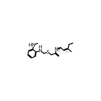 C=C(CSCNc1ccccc1NC)/N=C\C=C(\C)CC